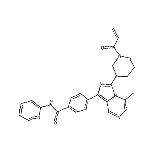 C=CC(=O)N1CCCC(c2nc(-c3ccc(C(=O)Nc4ccccn4)cc3)c3cncc(C)n23)C1